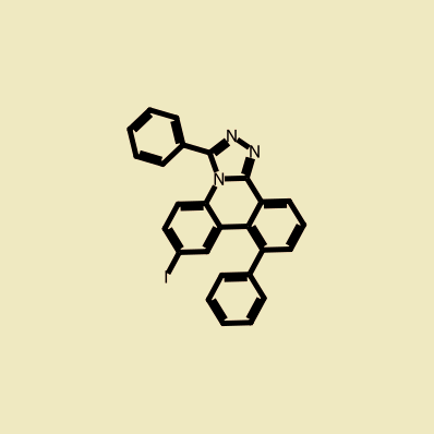 Ic1ccc2c(c1)c1c(-c3ccccc3)cccc1c1nnc(-c3ccccc3)n21